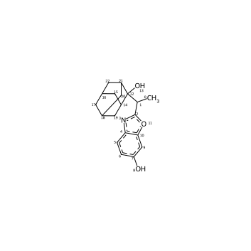 CC(c1nc2ccc(O)cc2o1)C1(O)C2CC3CC(C2)CC1C3